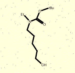 CCN(CCCCCO)C(=O)OC(C)(C)C